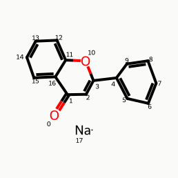 O=c1cc(-c2ccccc2)oc2ccccc12.[Na]